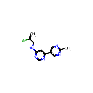 C=C(Br)CNc1cc(-c2cnc(C)nc2)ncn1